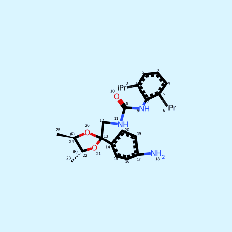 CC(C)c1cccc(C(C)C)c1NC(=O)NCC1(c2ccc(N)cc2)O[C@H](C)[C@@H](C)O1